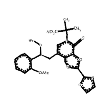 COc1ccccc1[C@H](Cc1cn(C(C)(C)C(=O)O)c(=O)c2oc(-c3ncco3)nc12)OC(C)C